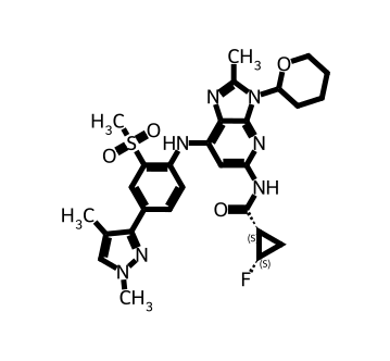 Cc1cn(C)nc1-c1ccc(Nc2cc(NC(=O)[C@@H]3C[C@@H]3F)nc3c2nc(C)n3C2CCCCO2)c(S(C)(=O)=O)c1